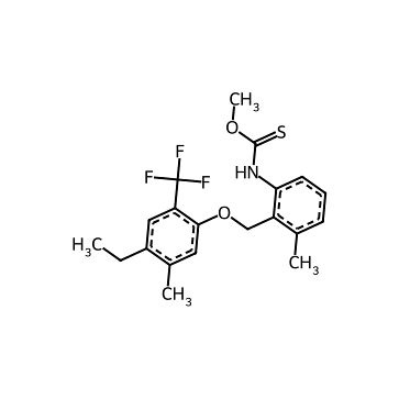 CCc1cc(C(F)(F)F)c(OCc2c(C)cccc2NC(=S)OC)cc1C